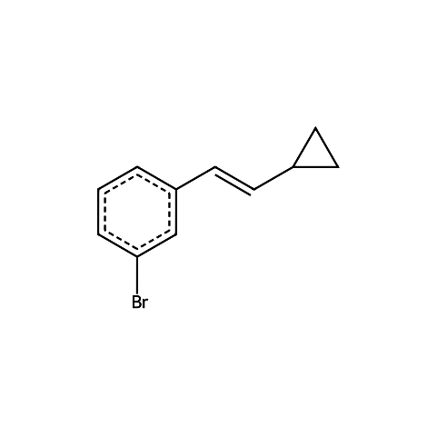 Brc1cccc(C=CC2CC2)c1